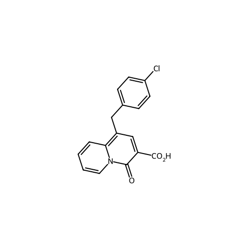 O=C(O)c1cc(Cc2ccc(Cl)cc2)c2ccccn2c1=O